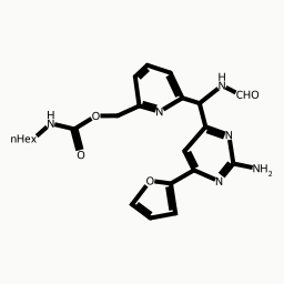 CCCCCCNC(=O)OCc1cccc(C(NC=O)c2cc(-c3ccco3)nc(N)n2)n1